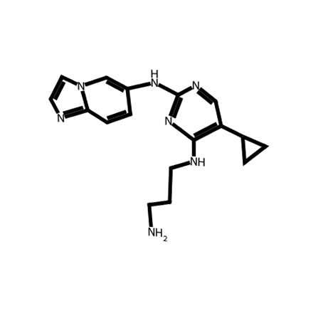 NCCCNc1nc(Nc2ccc3nccn3c2)ncc1C1CC1